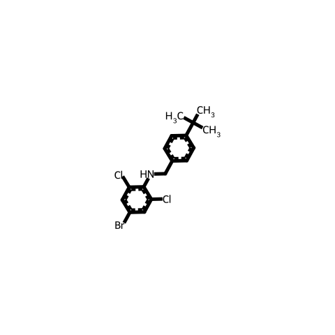 CC(C)(C)c1ccc(CNc2c(Cl)cc(Br)cc2Cl)cc1